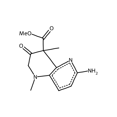 COC(=O)C1(C)C(=O)CN(C)c2ccc(N)nc21